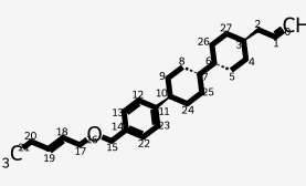 C=CC[C@H]1CC[C@H]([C@H]2CC[C@H](c3ccc(COCC=CCC)cc3)CC2)CC1